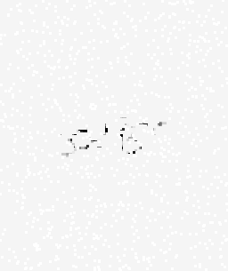 CC(C)NSc1c(Cl)c(C(=O)Nc2ccc(F)c(C#N)c2)n2c1C=CC2